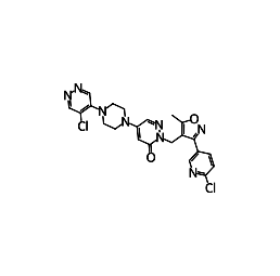 Cc1onc(-c2ccc(Cl)nc2)c1Cn1ncc(N2CCN(c3cnncc3Cl)CC2)cc1=O